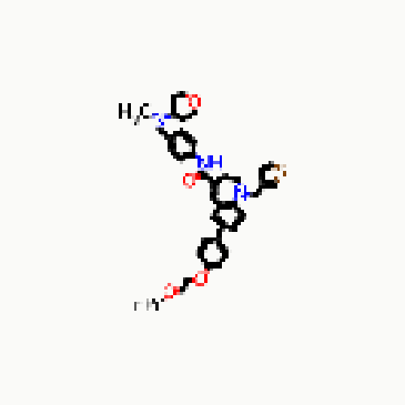 CCCOCCOc1ccc(-c2ccc3c(c2)C=C(C(=O)Nc2ccc(CN(C)C4CCOCC4)cc2)CCN3Cc2ccsc2)cc1